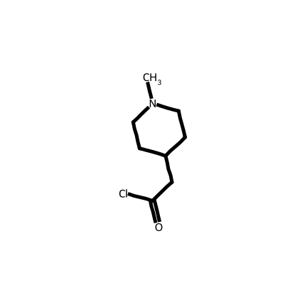 CN1CCC(CC(=O)Cl)CC1